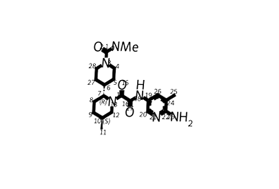 CNC(=O)N1CCC([C@H]2CC[C@H](C)CN2C(=O)C(=O)Nc2cnc(N)c(C)c2)CC1